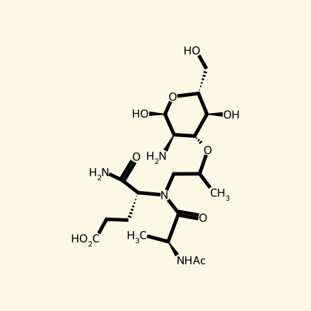 CC(=O)N[C@@H](C)C(=O)N(CC(C)O[C@@H]1[C@@H](N)[C@@H](O)O[C@H](CO)[C@H]1O)[C@H](CCC(=O)O)C(N)=O